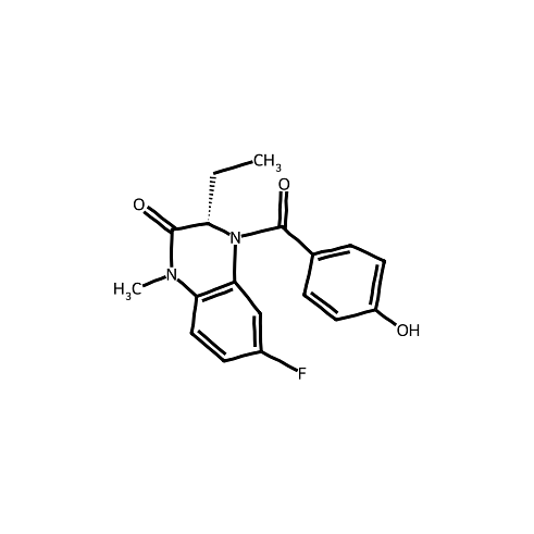 CC[C@H]1C(=O)N(C)c2ccc(F)cc2N1C(=O)c1ccc(O)cc1